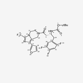 CC(C)(C)OC(=O)N[C@@H](CC(=O)N1CCn2c(C(F)(F)F)nc(-c3ccoc3)c2C1)Cc1cc(F)c(F)cc1F